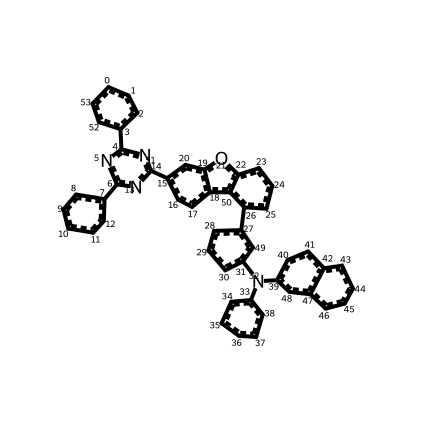 c1ccc(-c2nc(-c3ccccc3)nc(-c3ccc4c(c3)oc3cccc(-c5cccc(N(c6ccccc6)c6ccc7ccccc7c6)c5)c34)n2)cc1